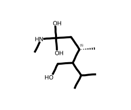 CNC(O)(O)C[C@H](C)C(CO)C(C)C